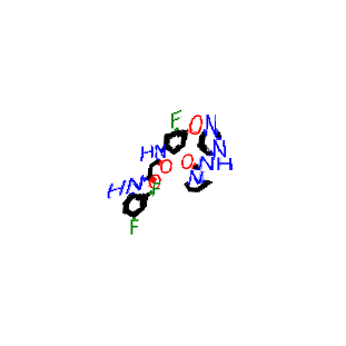 O=C(CC(=O)Nc1ccc(F)cc1F)Nc1ccc(Oc2cc(NC(=O)N3CCCC3)ncn2)c(F)c1